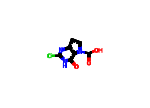 O=C(O)n1ccc2nc(Cl)[nH]c(=O)c21